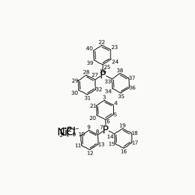 [Cl-].[Cl-].[Ni+2].c1ccc(P(c2ccccc2)c2ccccc2)cc1.c1ccc(P(c2ccccc2)c2ccccc2)cc1